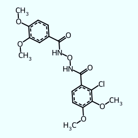 COc1ccc(C(=O)NONC(=O)c2ccc(OC)c(OC)c2Cl)cc1OC